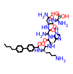 CCCCc1ccc(-c2ccc(C(=O)N[C@@H](CCCCN)C(=O)N[C@@H](Cc3c[nH]cn3)C(=O)N[C@@H](N)C(=O)N[C@@H](CC(N)=O)C(=O)N[C@@H](N)B(O)O)cc2)cc1